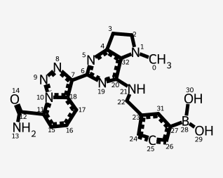 CN1CCc2nc(-c3nnn4c(C(N)=O)cccc34)nc(NCc3cccc(B(O)O)c3)c21